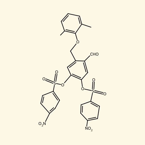 Cc1cccc(C)c1OCc1cc(OS(=O)(=O)c2ccc([N+](=O)[O-])cc2)c(OS(=O)(=O)c2ccc([N+](=O)[O-])cc2)cc1C=O